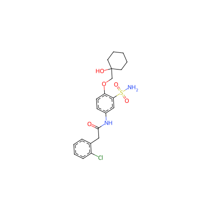 NS(=O)(=O)c1cc(NC(=O)Cc2ccccc2Cl)ccc1OCC1(O)CCCCC1